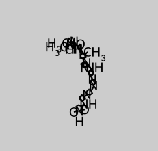 Cc1cc(-c2ccnc(Nc3ccc(N4CCN(CC5CCN(c6cccc(NC7CCC(=O)NC7=O)c6)CC5)CC4)cc3)n2)ccc1CNC(=O)c1cn(C(C)(C)C)nn1